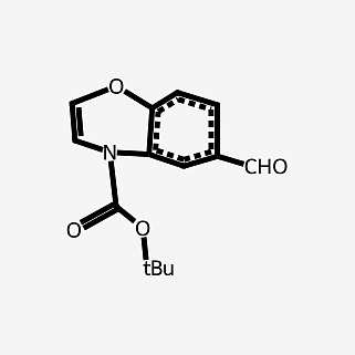 CC(C)(C)OC(=O)N1C=COc2ccc(C=O)cc21